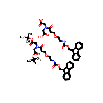 CC(C)(C)OC(=O)CN(CC(=O)OC(C)(C)C)C(=O)CCOCCNC(=O)OCC1c2ccccc2-c2ccccc21.O=C(O)CN(CC(=O)O)C(=O)CCOCCNC(=O)OCC1c2ccccc2-c2ccccc21